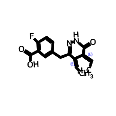 C/C=c1/c(Cc2ccc(F)c(C(=O)O)c2)n[nH]c(=O)/c1=C/C